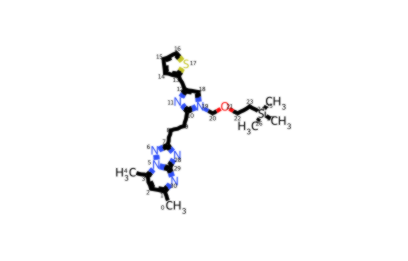 Cc1cc(C)n2nc(CCc3nc(-c4cccs4)cn3COCC[Si](C)(C)C)nc2n1